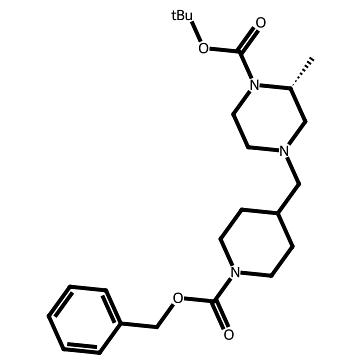 C[C@@H]1CN(CC2CCN(C(=O)OCc3ccccc3)CC2)CCN1C(=O)OC(C)(C)C